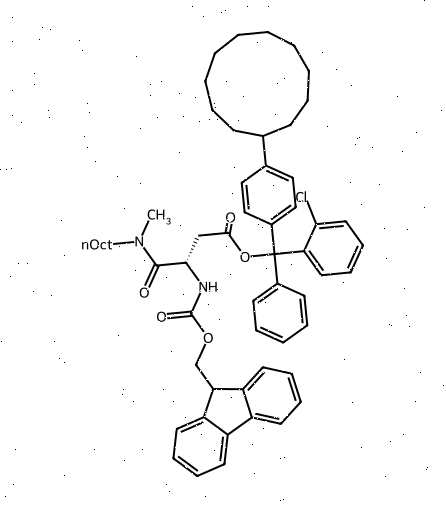 CCCCCCCCN(C)C(=O)[C@H](CC(=O)OC(c1ccccc1)(c1ccc(C2CCCCCCCCCC2)cc1)c1ccccc1Cl)NC(=O)OCC1c2ccccc2-c2ccccc21